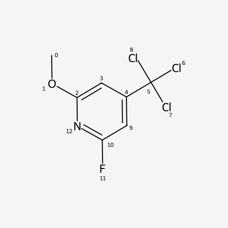 COc1cc(C(Cl)(Cl)Cl)cc(F)n1